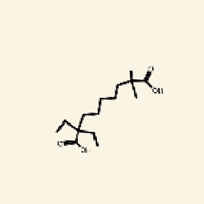 CCC(CC)(CCCCCC(C)(C)C(=O)O)C(=O)O